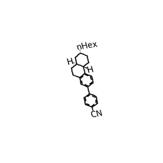 CCCCCC[C@@H]1CC[C@@H]2c3ccc(-c4ccc(C#N)cc4)cc3CC[C@H]2C1